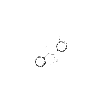 O=C(O)N[C@H](c1ccnc(Br)c1)[C@@H](O)c1ccccc1